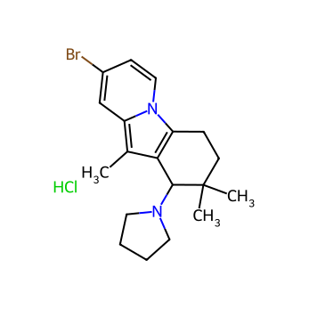 Cc1c2c(n3ccc(Br)cc13)CCC(C)(C)C2N1CCCC1.Cl